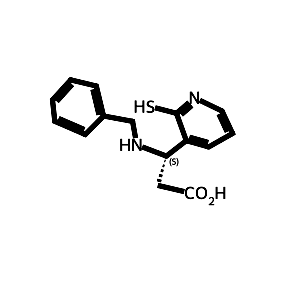 O=C(O)C[C@H](NCc1ccccc1)c1cccnc1S